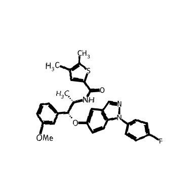 COc1cccc([C@@H](Oc2ccc3c(cnn3-c3ccc(F)cc3)c2)[C@H](C)NC(=O)c2cc(C)c(C)s2)c1